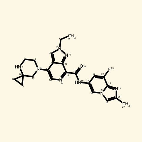 CCn1cc2c(N3CCNC4(CC4)C3)cnc(C(=O)Nc3cc(F)c4nc(C)cn4c3)c2n1